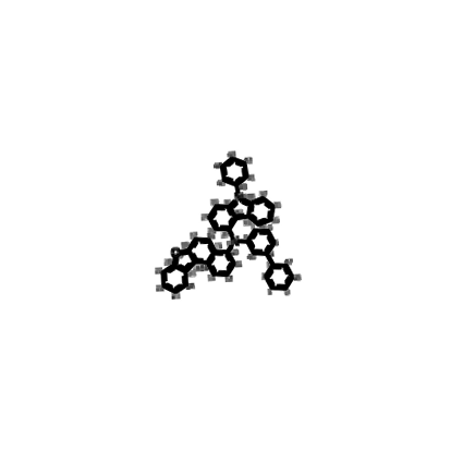 c1ccc(-c2cccc(N(c3cccc4c3ccc3oc5ccccc5c34)c3cccc4c3c3ccccc3n4-c3ccccc3)c2)cc1